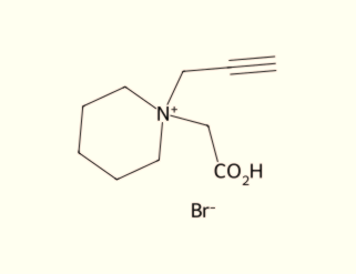 C#CC[N+]1(CC(=O)O)CCCCC1.[Br-]